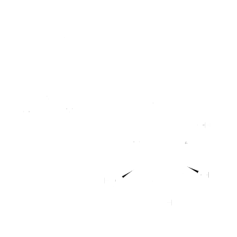 Cc1cc(=O)oc2cc(OC3O[C@H](C)[C@@H](O)[C@H](O)[C@H]3O)ccc12